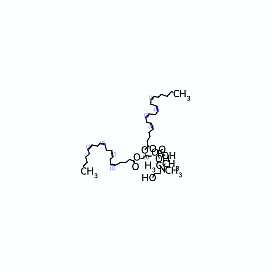 CCCCC/C=C\C/C=C\C/C=C\C/C=C\CCCC(=O)OC[C@H](COP(=O)(O)O)OC(=O)CCC/C=C\C/C=C\C/C=C\C/C=C\CCCCC.C[N+](C)(C)CCO